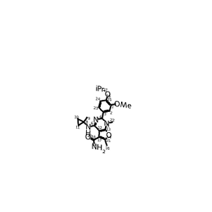 COc1cc(C2N=C(NC3(C)CC3)c3c(oc(C)c3C(N)=O)N2C)ccc1OC(C)C